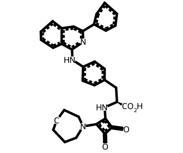 O=C(O)[C@H](Cc1ccc(Nc2nc(-c3ccccc3)cc3ccccc23)cc1)Nc1c(N2CCCCCC2)c(=O)c1=O